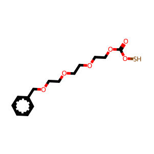 O=C(OS)OCCOCCOCCOCc1ccccc1